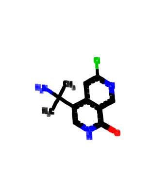 CC(C)(N)c1c[nH]c(=O)c2cnc(Cl)cc12